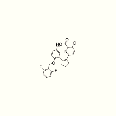 O=C(O)c1nc(C2=C(c3cc(Cl)ccc3OCc3c(F)cccc3F)CCC2)ccc1Cl